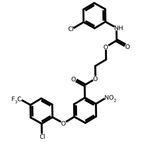 O=C(Nc1cccc(Cl)c1)OCCOC(=O)c1cc(Oc2ccc(C(F)(F)F)cc2Cl)ccc1[N+](=O)[O-]